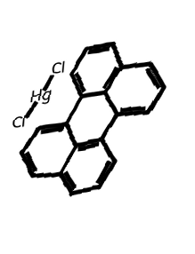 [Cl][Hg][Cl].c1cc2cccc3c4cccc5cccc(c(c1)c23)c54